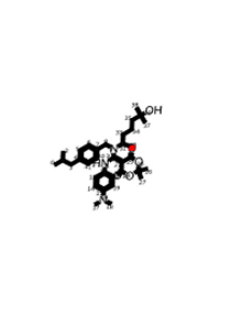 CC(C)Cc1ccc(CN(C(Nc2ccc(N(C)C)cc2)=C2C(=O)OC(C)(C)OC2=O)C(C)CCCC(C)(C)O)cc1